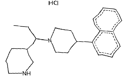 CCC(C1CCCNC1)N1CCC(c2cccc3ccccc23)CC1.Cl